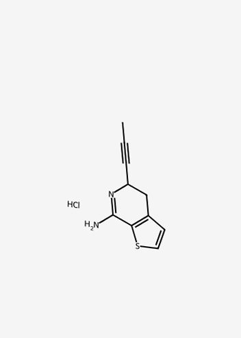 CC#CC1Cc2ccsc2C(N)=N1.Cl